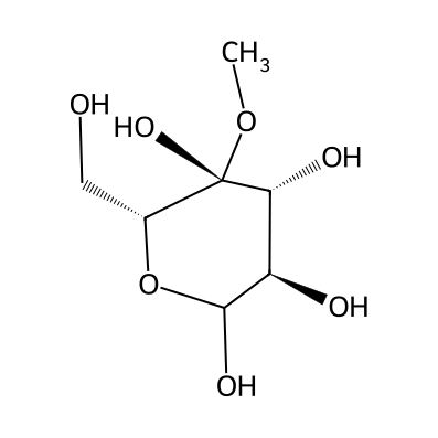 CO[C@]1(O)[C@H](O)[C@@H](O)C(O)O[C@@H]1CO